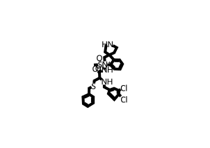 CS(=O)(=O)[N+]1(NC(=O)C(CSCc2ccccc2)NCc2ccc(Cl)c(Cl)c2)CC2(CCNCC2)c2ccccc21